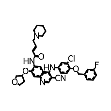 N#Cc1cnc2cc(O[C@H]3CCOC3)c(NC(=O)/C=C/CN3CCCCC3)cc2c1Nc1ccc(OCc2cccc(F)c2)c(Cl)c1